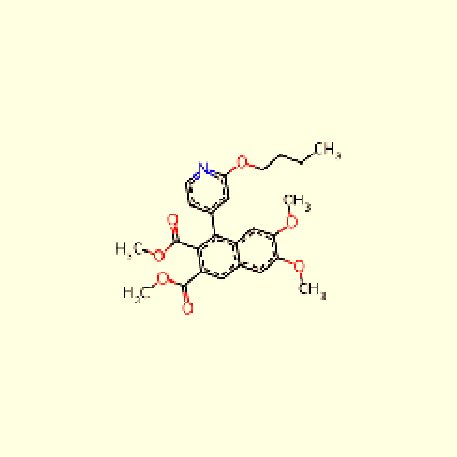 CCCCOc1cc(-c2c(C(=O)OC)c(C(=O)OC)cc3cc(OC)c(OC)cc23)ccn1